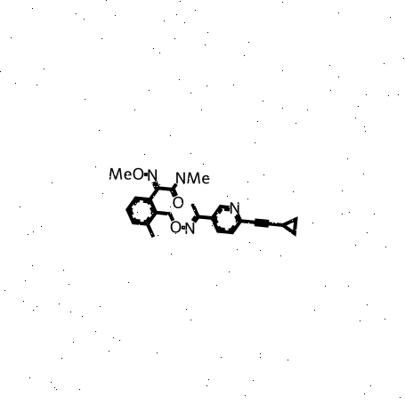 CNC(=O)/C(=N/OC)c1cccc(C)c1CO/N=C(\C)c1ccc(C#CC2CC2)nc1